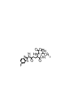 CC(C)C[C@H](NC(CCC(=O)Nc1nc2ccc(F)cc2s1)C(=O)O)C(=O)O